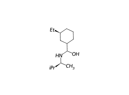 CC[C@H]1CCCC(C(O)N[C@@H](C)C(C)C)C1